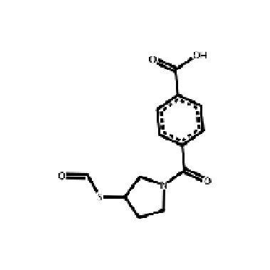 O=CSC1CCN(C(=O)c2ccc(C(=O)O)cc2)C1